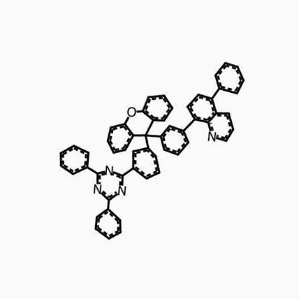 c1ccc(-c2nc(-c3ccccc3)nc(-c3cccc(C4(c5cccc(-c6ccc(-c7ccccc7)c7cccnc67)c5)c5ccccc5Oc5ccccc54)c3)n2)cc1